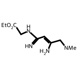 CCOC(=O)CNC(=N)/C=C(\N)CNC